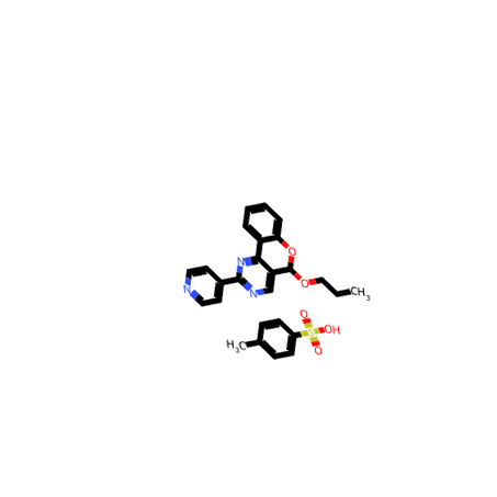 CCCOC1Oc2ccccc2-c2nc(-c3ccncc3)ncc21.Cc1ccc(S(=O)(=O)O)cc1